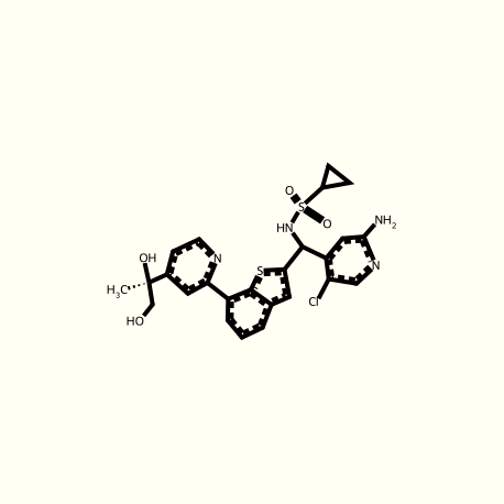 C[C@@](O)(CO)c1ccnc(-c2cccc3cc(C(NS(=O)(=O)C4CC4)c4cc(N)ncc4Cl)sc23)c1